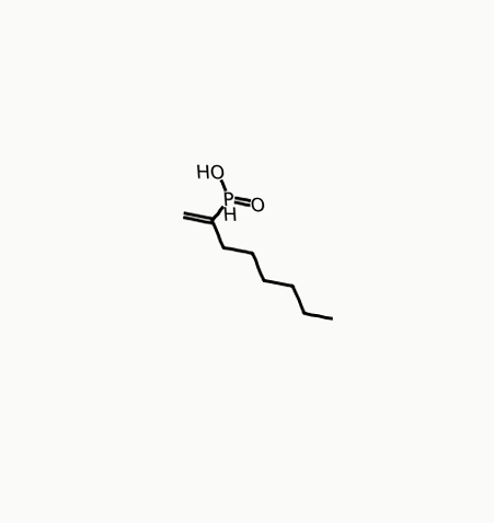 C=C(CCCCCC)[PH](=O)O